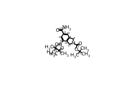 CC(C)(C)OC(=O)N1Cc2cc(C(N)=O)cc(B3OC(C)(C)C(C)(C)O3)c2C1